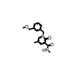 CNC(=O)c1cc(C)cn(Cc2cccc(COC)c2)c1=O